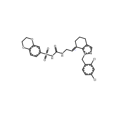 O=C(NC/C=C1\CCCc2cnn(Cc3ccc(Cl)cc3Cl)c21)NS(=O)(=O)c1ccc2c(c1)OCCO2